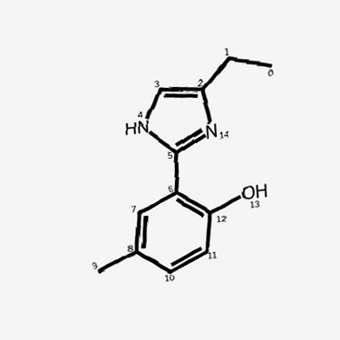 CCc1c[nH]c(-c2cc(C)ccc2O)n1